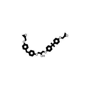 CC(C)(c1ccc(OCC(O)COc2ccc(Cc3ccc(OCC4CO4)cc3)cc2)cc1)c1ccc(OCC2CO2)cc1